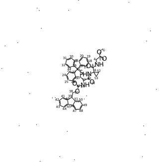 COC(=O)CNC(=O)C1(NC(=O)C(CSC(c2ccccc2)(c2ccccc2)c2ccccc2)NC(=O)OCC2c3ccccc3-c3ccccc32)CC1